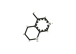 Cc1cncc2c1CCCO2